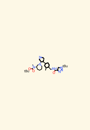 Cc1cc(-c2ccncc2N2CCCC[C@@H](N(C)C(=O)OC(C)(C)C)C2)ccc1CNC(=O)c1cn(C(C)(C)C)nn1